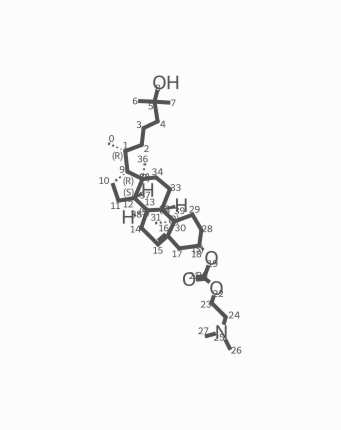 C[C@H](CCCC(C)(C)O)[C@H]1CC[C@H]2[C@@H]3CC=C4C[C@@H](OC(=O)OCCN(C)C)CC[C@]4(C)[C@H]3CC[C@]12C